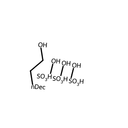 CCCCCCCCCCCCO.O=S(=O)(O)O.O=S(=O)(O)O.O=S(=O)(O)O